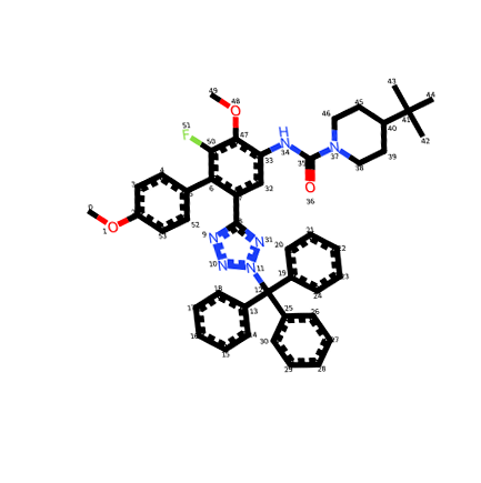 COc1ccc(-c2c(-c3nnn(C(c4ccccc4)(c4ccccc4)c4ccccc4)n3)cc(NC(=O)N3CCC(C(C)(C)C)CC3)c(OC)c2F)cc1